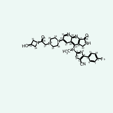 CN(c1nc(-c2ccc(F)cc2)c(C#N)s1)c1c2c(nc3ncc(N4CCN(CC(=O)N5CC(O)C5)CC4)cc13)C(=O)NC2